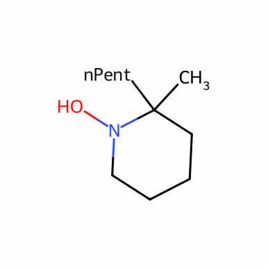 CCCCCC1(C)CCCCN1O